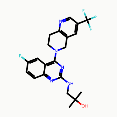 CC(C)(O)CNc1nc(N2CCc3ncc(C(F)(F)F)cc3C2)c2cc(F)ccc2n1